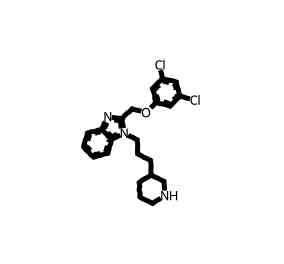 Clc1cc(Cl)cc(OCc2nc3ccccc3n2CCCC2CCCNC2)c1